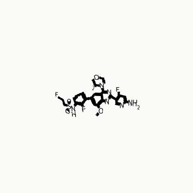 COc1cc(-c2cccc(NS(=O)(=O)CCCF)c2F)cc2c(N3CCOC[C@H]3C)nc(-c3cnc(N)cc3F)nc12